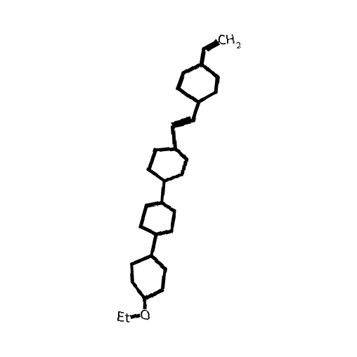 C=CC1CCC(/C=C/C2CCC(C3CCC(C4CCC(OCC)CC4)CC3)CC2)CC1